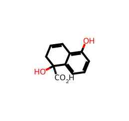 O=C(O)C1(O)CC=Cc2c(O)cccc21